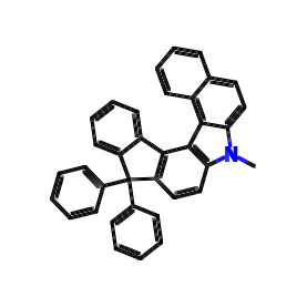 Cn1c2ccc3c(c2c2c4ccccc4ccc21)-c1ccccc1C3(c1ccccc1)c1ccccc1